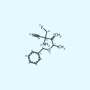 C=C(C(C)OCc1ccccc1)C(N)(C#N)CF